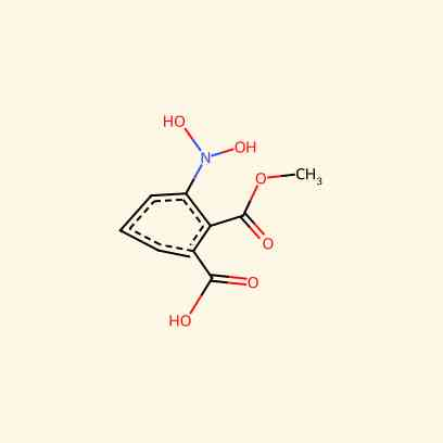 COC(=O)c1c(C(=O)O)cccc1N(O)O